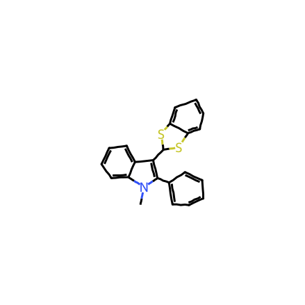 Cn1c(-c2ccccc2)c(C2Sc3ccccc3S2)c2ccccc21